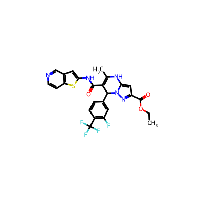 CCOC(=O)c1cc2n(n1)C(c1ccc(C(F)(F)F)c(F)c1)C(C(=O)Nc1cc3cnccc3s1)=C(C)N2